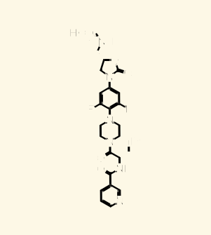 CC(C)C[C@H](NC(=O)c1cccnc1)C(=O)N1CCN(c2c(F)cc(N3C[C@H](CNC(=O)O)OC3=O)cc2F)CC1